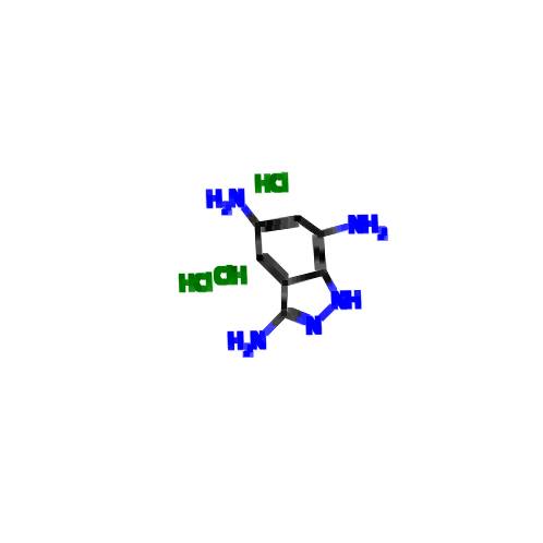 Cl.Cl.Cl.Nc1cc(N)c2[nH]nc(N)c2c1